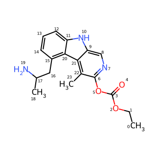 CCOC(=O)Oc1ncc2[nH]c3cccc(CC(C)N)c3c2c1C